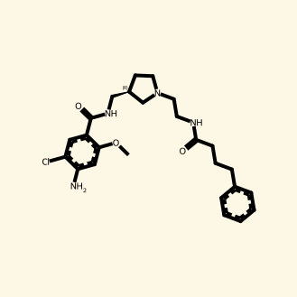 COc1cc(N)c(Cl)cc1C(=O)NC[C@H]1CCN(CCNC(=O)CCCc2ccccc2)C1